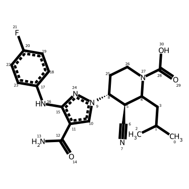 CC(C)CC1[C@@H](C#N)[C@H](n2cc(C(N)=O)c(Nc3ccc(F)cc3)n2)CCN1C(=O)O